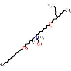 CCCCCCCCCCCOC(=O)CCCCCN(CCCCCCCC(=O)OCCCC(CCCCC)CCCCC)C(C)(C)CO